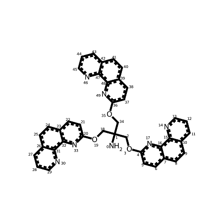 NC(COc1ccc2ccc3cccnc3c2n1)(COc1ccc2ccc3cccnc3c2n1)COc1ccc2ccc3cccnc3c2n1